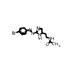 CC(=O)NCCC1CN=C(N=Nc2ccc(Br)cc2)N1